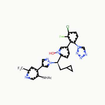 CC(=O)Nc1cnc(C(F)(F)F)cc1-c1cnn([C@H](CC2CC2)c2ccc(-c3c(-n4cnnn4)ccc(Cl)c3F)c[n+]2O)c1